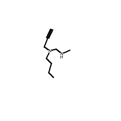 C#CCN(CCCC)CNC